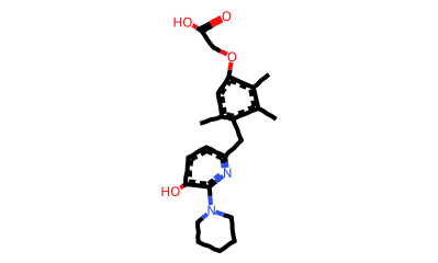 Cc1cc(OCC(=O)O)c(C)c(C)c1Cc1ccc(O)c(N2CCCCC2)n1